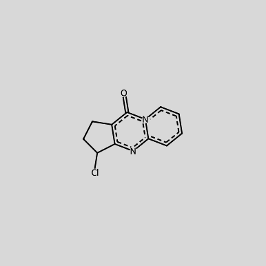 O=c1c2c(nc3ccccn13)C(Cl)CC2